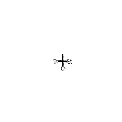 CCC(C)([O])CC